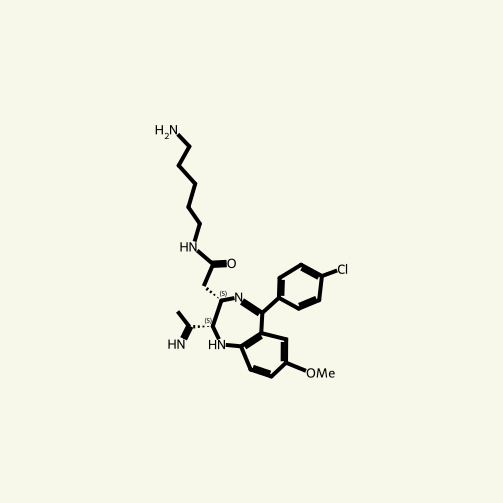 COc1ccc2c(c1)C(c1ccc(Cl)cc1)=N[C@@H](CC(=O)NCCCCCN)[C@@H](C(C)=N)N2